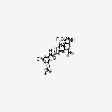 Cc1[nH]nc(C(F)(F)F)c1-c1nnc(CNC(=O)Nc2cc(Cl)nc(OCC(F)F)c2)cc1CN(C)C